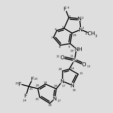 Cn1nc(F)c2cccc(NS(=O)(=O)c3cnn(-c4cc(C(F)(F)F)ccn4)c3)c21